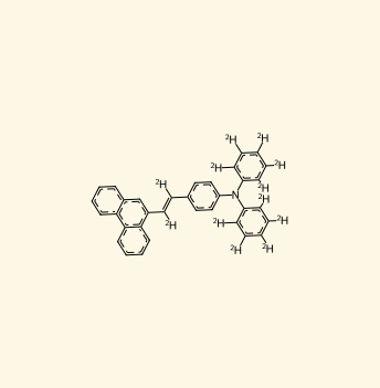 [2H]/C(=C(/[2H])c1cc2ccccc2c2ccccc12)c1ccc(N(c2c([2H])c([2H])c([2H])c([2H])c2[2H])c2c([2H])c([2H])c([2H])c([2H])c2[2H])cc1